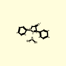 CCNCC.O=C1CN(c2ccccc2)N=C1c1ccccc1